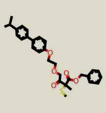 CSC(C)(C(=O)COCCOc1ccc(-c2ccc(C(C)C)cc2)cc1)C(=O)OCc1ccccc1